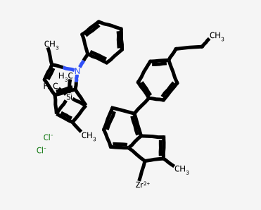 CC1=C2c3cc(C)n(-c4ccccc4)c3C1[Si]2(C)C.CCCc1ccc(-c2cccc3c2C=C(C)[CH]3[Zr+2])cc1.[Cl-].[Cl-]